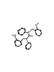 COc1ccccc1CP(c1ccccc1)C(C)P(Cc1ccccc1OC)c1ccccc1